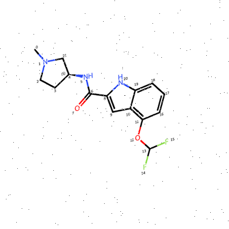 CN1CC[C@H](NC(=O)c2cc3c(OC(F)F)cccc3[nH]2)C1